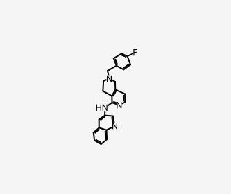 Fc1ccc(CN2CCc3c(ccnc3Nc3cnc4ccccc4c3)C2)cc1